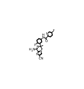 CC1(c2cc(NC(=O)c3ccc(F)cn3)ccc2F)Cn2cc(C#N)nc2C(N)=N1